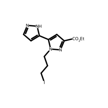 CCOC(=O)c1cc(-c2ccn[nH]2)n(CCCI)n1